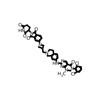 CN1CN(c2c(Cl)cccc2Cl)C(=O)c2cnc(Nc3ccc4c(c3)CN(CC3CN(c5ccc6c(c5)C(=O)N(C5CCC(=O)NC5=O)C6=O)C3)CC4)nc21